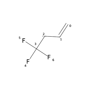 C=C[CH]C(F)(F)F